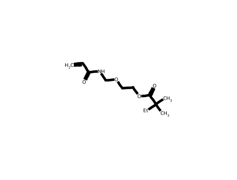 C=CC(=O)NCOCCOC(=O)C(C)(C)CC